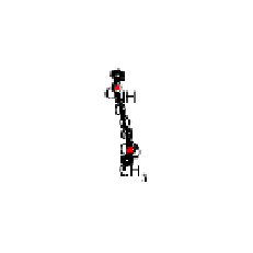 Cc1ccc(S(=O)(=O)OCCOCCOCCOCCNC(=O)OCc2ccccc2)cc1